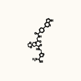 N=C(N)c1csc(CNC(=O)C2CC3(CN2C(=O)CNC(=O)c2ccc(-c4cnc5[nH]ccc5c4)cc2)OCCO3)c1